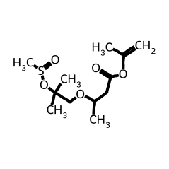 C=C(C)OC(=O)CC(C)OCC(C)(C)OS(C)=O